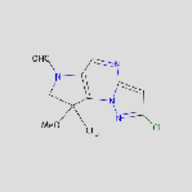 COC1(C(F)(F)F)CN(C=O)c2cnc3cc(Cl)nn3c21